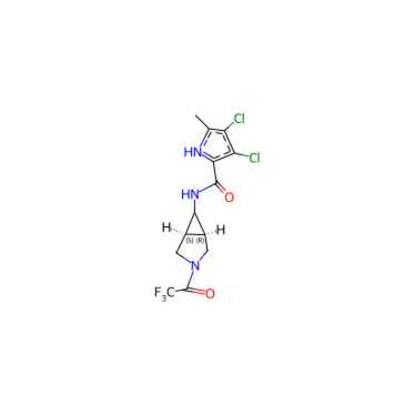 Cc1[nH]c(C(=O)NC2[C@H]3CN(C(=O)C(F)(F)F)C[C@@H]23)c(Cl)c1Cl